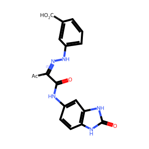 CC(=O)/C(=N/Nc1cccc(C(=O)O)c1)C(=O)Nc1ccc2[nH]c(=O)[nH]c2c1